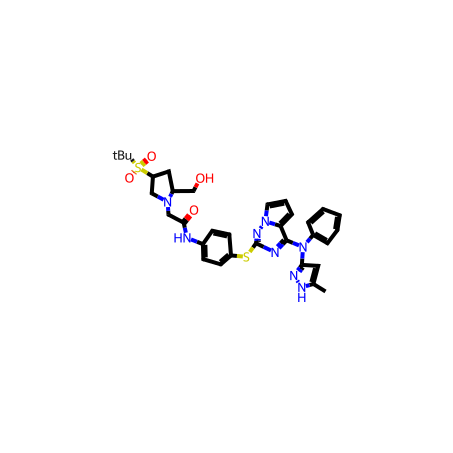 Cc1cc(N(c2ccccc2)c2nc(Sc3ccc(NC(=O)CN4CC(S(=O)(=O)C(C)(C)C)CC4CO)cc3)nn3cccc23)n[nH]1